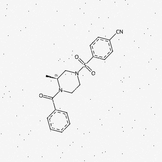 C[C@H]1CN(S(=O)(=O)c2ccc(C#N)cc2)CCN1C(=O)c1ccccc1